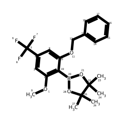 COc1cc(C(F)(F)F)cc(OCc2ccccc2)c1B1OC(C)(C)C(C)(C)O1